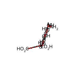 CC(=O)[C@H](CCCCNC(=O)COCCOCCNC(=O)COCCOCCNC(=O)CC[C@H](NC(=O)CCCCCCCCCCCCCCCCC(=O)O)C(=O)O)NC(=O)C(C)(C)N